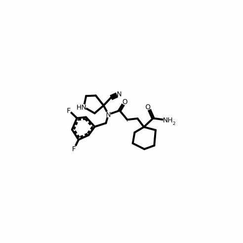 N#CC1(N(Cc2cc(F)cc(F)c2)C(=O)[CH]CC2(C(N)=O)CCCCC2)CCNC1